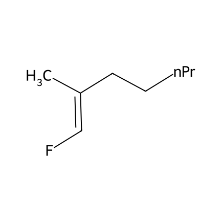 CCCCCC(C)=CF